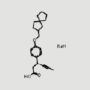 CC#C[C@@H](CC(=O)O)c1ccc(OCC2CCC3(CCCC3)C2)cc1.[NaH]